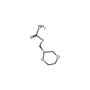 NC(=S)SC[C@H]1COCCO1